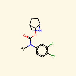 CN(C(=O)OC1C2CCC1NC2)c1ccc(Cl)c(Cl)c1